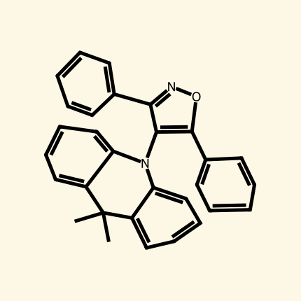 CC1(C)c2ccccc2N(c2c(-c3ccccc3)noc2-c2ccccc2)c2ccccc21